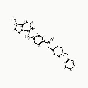 O=C(CC1CCN(Cc2ccccc2)CC1)c1ccc(Nc2ncnc3c2CCC3O)cc1